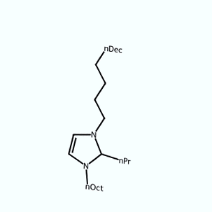 CCCCCCCCCCCCCCN1C=CN(CCCCCCCC)C1CCC